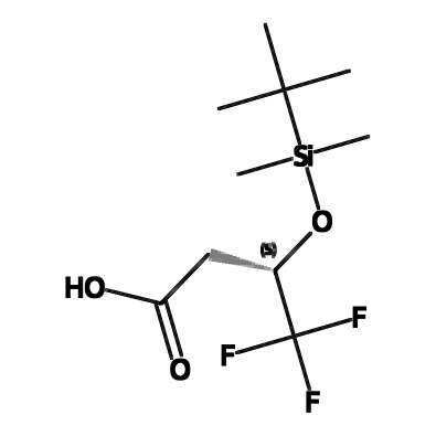 CC(C)(C)[Si](C)(C)O[C@@H](CC(=O)O)C(F)(F)F